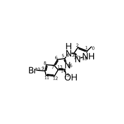 Cc1cc(Nc2cc3cc(Br)ccc3c(O)n2)n[nH]1